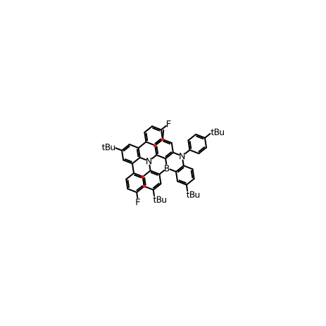 Cc1cc2c3c(c1)N(c1c(-c4ccc(F)cc4)cc(C(C)(C)C)cc1-c1ccc(F)cc1)c1ccc(C(C)(C)C)cc1B3c1cc(C(C)(C)C)ccc1N2c1ccc(C(C)(C)C)cc1